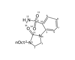 CCCCCCCCN1CCN(c2ccccc2S(N)(=O)=O)C1=O